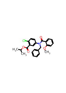 COc1ccccc1C(=O)N(Cc1ccccc1)c1ccc(Cl)c(C(=O)OC(C)C)c1